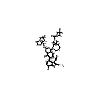 N#Cc1c(N)sc2c(F)ccc(-c3c(Cl)cc4c(N5CCCCC6(CN(C(=O)N7CC(F)(F)C7)C6)C5)nc(OC[C@@]56CCCN5C[C@H](F)C6)nc4c3F)c12